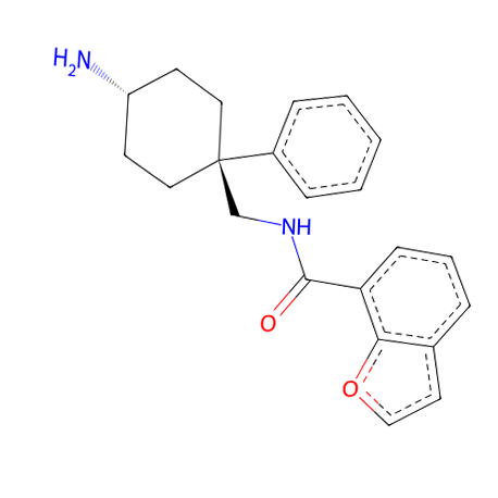 N[C@H]1CC[C@@](CNC(=O)c2cccc3ccoc23)(c2ccccc2)CC1